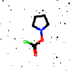 O=C(Cl)ON1CCCC1